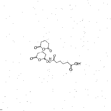 O=C(O)CCCCC(=O)O.O=C1CCCC(=O)O1.O=C1CCCC(=O)O1